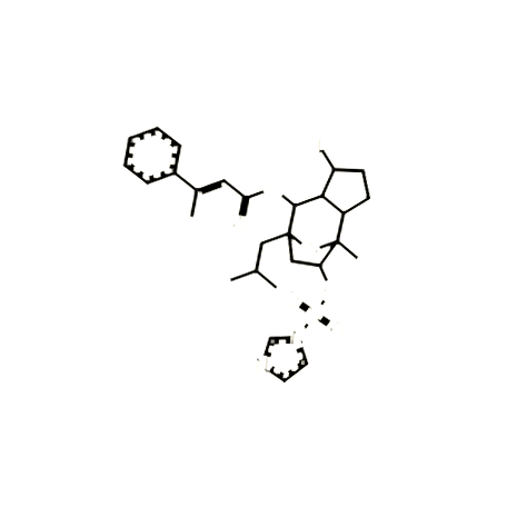 C/C(=C\C(=O)OC1C2C(I)CCC2C2(C)OC1(CC(C)C)CC2OS(=O)(=O)n1ccnc1)c1ccccc1